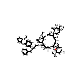 CC[C@H]1OC(=O)C(C)[C@@H](O[C@H]2CC(C)(OC)[C@@H](O)C(C)O2)[C@H](C)[C@@H](OC2C[C@@H](N(C)C)C[C@@H](C)O2)[C@](C)(OC)C[C@@H](C)C(=O)C(C)[C@H]2[C@H](SCCN(Cc3ccncc3)c3ccc(OC)c(OC4CCCC4)c3)C(=O)O[C@]12C